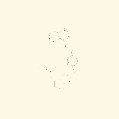 NC(=O)OC1CCC2CN(C(=O)c3ccc(OCc4ccnc5ccccc45)cc3)CC21